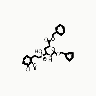 COc1c(Cl)cccc1CCP(=O)(O)C(CCC(=O)OCc1ccccc1)NC(=O)OCc1ccccc1